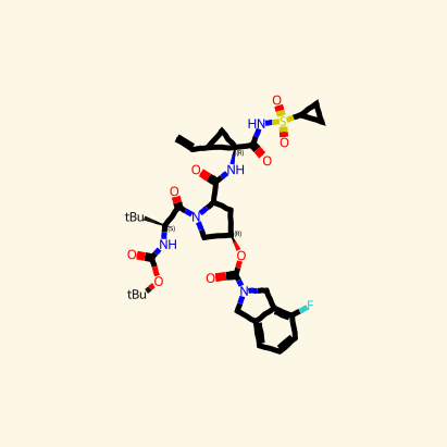 C=CC1C[C@]1(NC(=O)C1C[C@@H](OC(=O)N2Cc3cccc(F)c3C2)CN1C(=O)[C@@H](NC(=O)OC(C)(C)C)C(C)(C)C)C(=O)NS(=O)(=O)C1CC1